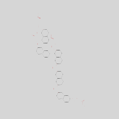 c1cc2ccc(Oc3ccc4ccc(Oc5ccc6ccc(OCC7CO7)c(-c7ccc8ccc(OCC9CO9)c(-c9ccc%10ccc(OCC%11CO%11)cc%10c9)c8c7)c6c5)cc4c3)cc2cc1OCC1CO1